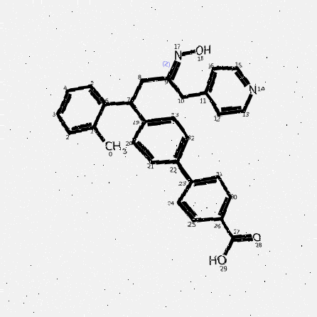 Cc1ccccc1C(C/C(Cc1ccncc1)=N/O)c1ccc(-c2ccc(C(=O)O)cc2)cc1